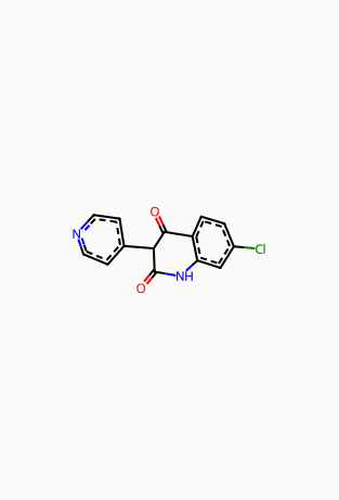 O=C1Nc2cc(Cl)ccc2C(=O)C1c1ccncc1